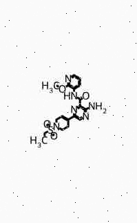 CCS(=O)(=O)N1CC=C(c2cnc(N)c(C(=O)Nc3cccnc3OC)n2)CC1